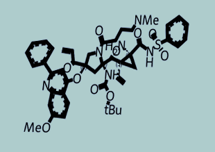 C=CC(=O)[C@]1(Oc2cc(-c3ccccc3)nc3cc(OC)ccc23)CN(C(=O)CCCNC)[C@](NC(=O)OC(C)(C)C)(C(=O)[C@]2(C=C)C[C@]2(N)C(=O)NS(=O)(=O)c2ccccc2)C1